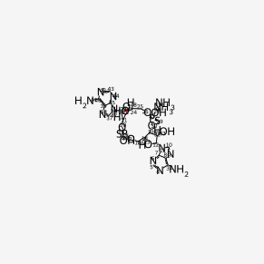 N.N.Nc1ncnc2c1ncn2[C@@H]1O[C@@H]2COP(O)(=S)O[C@@H]3C(O)[C@@H](COP(O)(=S)O[C@H]2[C@H]1O)O[C@H]3n1cnc2c(N)ncnc21